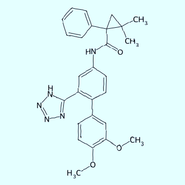 COc1ccc(-c2ccc(NC(=O)C3(c4ccccc4)CC3(C)C)cc2-c2nnn[nH]2)cc1OC